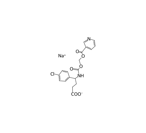 O=C([O-])CCC(NC(=O)OCOC(=O)c1cccnc1)c1ccc(Cl)cc1.[Na+]